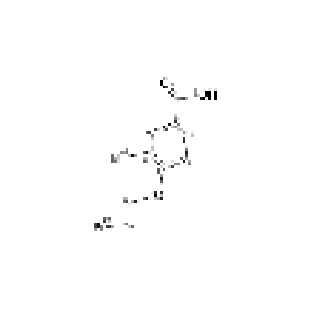 O=C(O)c1ccc(OCCBr)c(Br)c1